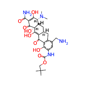 CN(C)[C@H]1C(O)=C(C(N)=O)C(=O)[C@]2(O)C(O)=C3C(=O)c4c(O)c(NC(=O)OCC(C)(C)C)cc(CN)c4C[C@@H]3C[C@H]12